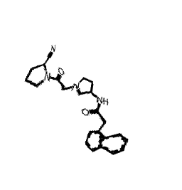 N#CC1CCCN1C(=O)CN1CCC(NC(=O)Cc2cccc3ccccc23)C1